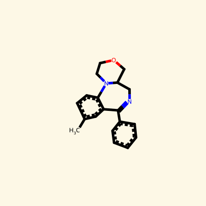 Cc1ccc2c(c1)C(c1ccccc1)=NCC1COCCN21